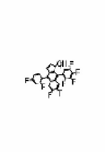 CC1C=Cc2c1c(-c1c(F)c(F)c(F)c(F)c1F)c1cc(F)c(F)cc1c2-c1ccc(F)cc1F